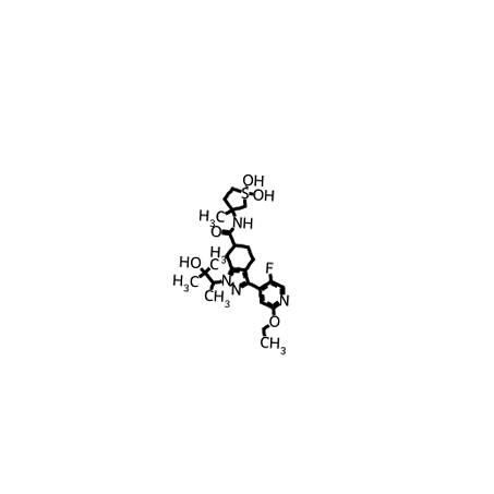 CCOc1cc(-c2nn(C(C)C(C)(C)O)c3c2CCC(C(=O)NC2(C)CCS(O)(O)C2)C3)c(F)cn1